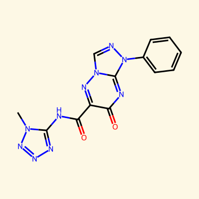 Cn1nnnc1NC(=O)c1nn2cnn(-c3ccccc3)c2nc1=O